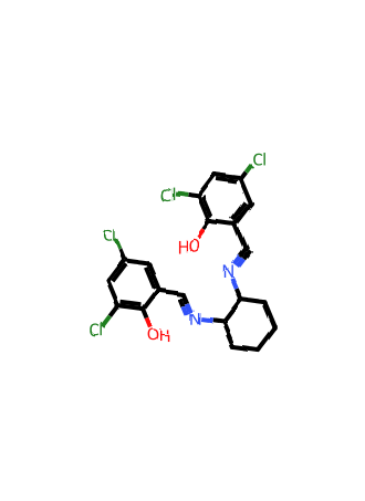 Oc1c(Cl)cc(Cl)cc1C=NC1CCCCC1N=Cc1cc(Cl)cc(Cl)c1O